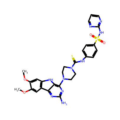 COc1cc2[nH]c3c(N4CCN(C(=S)Nc5ccc(S(=O)(=O)Nc6ncccn6)cc5)CC4)nc(N)nc3c2cc1OC